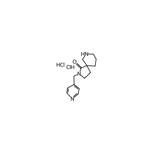 Cl.Cl.O=C1N(Cc2ccncc2)CCC12CCCNC2